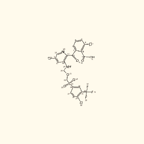 O=C(c1cccc(Cl)c1C(=O)O)c1ncc(Cl)cc1NCOCS(=O)(=O)c1ccc(Cl)c(C(F)(F)F)c1